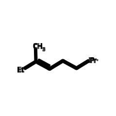 CC/C(C)=C/CC[C](C)C